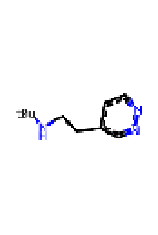 CC(C)(C)NCCc1ccnnc1